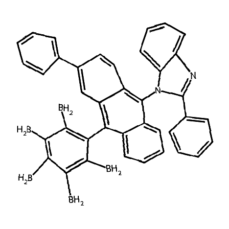 Bc1c(B)c(B)c(-c2c3ccccc3c(-n3c(-c4ccccc4)nc4ccccc43)c3ccc(-c4ccccc4)cc23)c(B)c1B